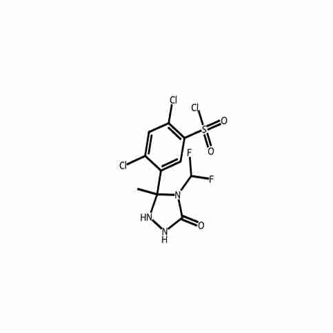 CC1(c2cc(S(=O)(=O)Cl)c(Cl)cc2Cl)NNC(=O)N1C(F)F